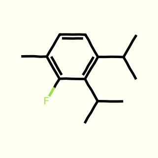 Cc1ccc(C(C)C)c(C(C)C)c1F